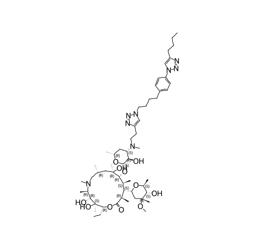 CCCCc1cn(-c2ccc(CCCCn3cc(CCN(C)[C@H]4C[C@@H](C)O[C@@H](O[C@@H]5[C@@H](C)[C@H](C6C[C@@](C)(OC)[C@@H](O)[C@H](C)O6)[C@@H](C)C(=O)O[C@H](CC)[C@@](C)(O)[C@H](O)[C@@H](C)N(C)C[C@H](C)C[C@@]5(C)O)[C@@H]4O)nn3)cc2)nn1